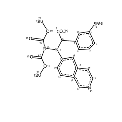 CSc1cccc(C(C(=O)O)N(c2ccc3cnccc3c2)N(C(=O)OC(C)(C)C)C(=O)OC(C)(C)C)c1